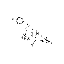 CNC(C(C#N)C#N)N(CCCN(CCOC)Cc1ccc(F)cc1)CCOC